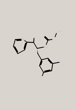 CC(C)(C)OC(=O)N[C@@H](Cc1cc(F)cc(F)c1)C(O)c1ccccn1